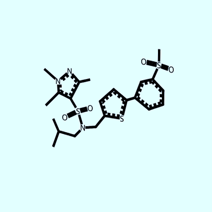 Cc1nn(C)c(C)c1S(=O)(=O)N(Cc1ccc(-c2cccc(S(C)(=O)=O)c2)s1)CC(C)C